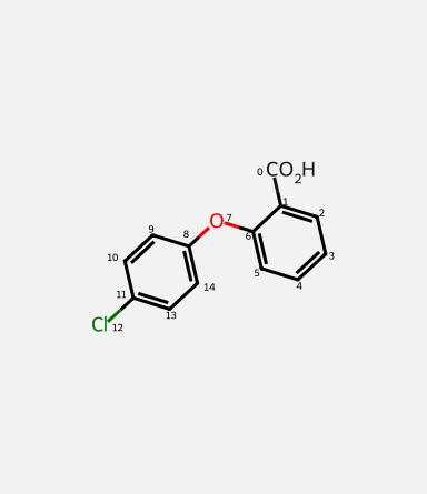 O=C(O)c1ccccc1Oc1ccc(Cl)cc1